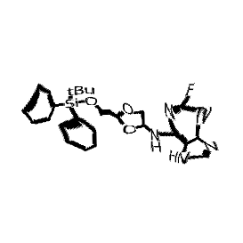 CC(C)(C)[Si](OCC1OCC(Nc2nc(F)nc3nc[nH]c23)O1)(c1ccccc1)c1ccccc1